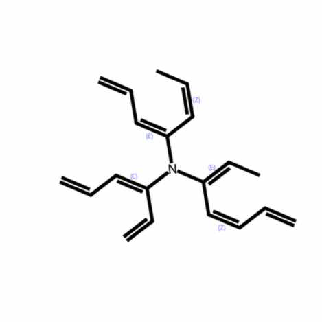 C=C/C=C\C(=C/C)N(/C(C=C)=C/C=C)C(/C=C\C)=C/C=C